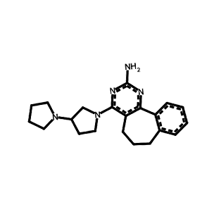 Nc1nc2c(c(N3CCC(N4CCCC4)C3)n1)CCCc1ccccc1-2